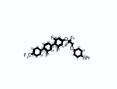 CCCC1CCC(OCC(F)(F)Oc2cc(F)c(-c3ccc(C4CC=C(C(F)(F)F)CC4)c(F)c3)c(F)c2)CC1